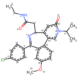 CCNC(=O)CC1N=C(c2ccc(Cl)cc2)c2cc(OC)ccc2-c2cn(C(C)C)c(=O)cc21